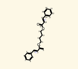 C=C(/C=C/c1ccccc1)OCCCCOC(=O)/C=C/c1ccccc1